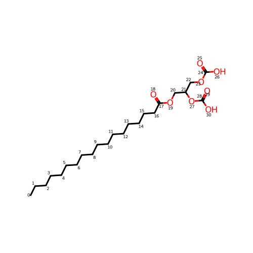 CCCCCCCCCCCCCCCCCC(=O)OCC(COC(=O)O)OC(=O)O